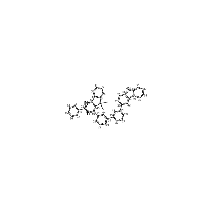 CC1(C)c2ccccc2-c2nc(-c3ccccc3)nc(-c3cccc(-c4cccc(-c5ccc6sc7ccccc7c6c5)c4)c3)c21